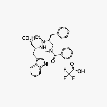 CCN(N[C@H](CC(=O)O)Cc1c[nH]c2ccccc12)[C@@H](Cc1ccccc1)CN(C)C(=O)c1ccccc1.O=C(O)C(F)(F)F